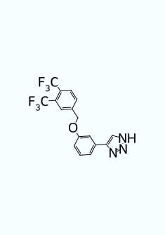 FC(F)(F)c1ccc(COc2cccc(-c3c[nH]nn3)c2)cc1C(F)(F)F